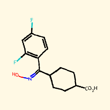 O=C(O)C1CCC(C(=NO)c2ccc(F)cc2F)CC1